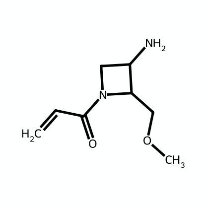 C=CC(=O)N1CC(N)C1COC